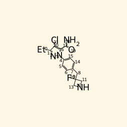 CCc1nn(-c2ccc(CC3(F)CNC3)cc2)c(C(N)=O)c1Cl